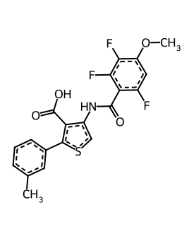 COc1cc(F)c(C(=O)Nc2csc(-c3cccc(C)c3)c2C(=O)O)c(F)c1F